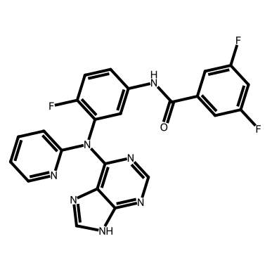 O=C(Nc1ccc(F)c(N(c2ccccn2)c2ncnc3[nH]cnc23)c1)c1cc(F)cc(F)c1